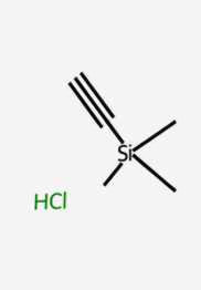 C#C[Si](C)(C)C.Cl